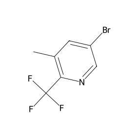 Cc1cc(Br)cnc1C(F)(F)F